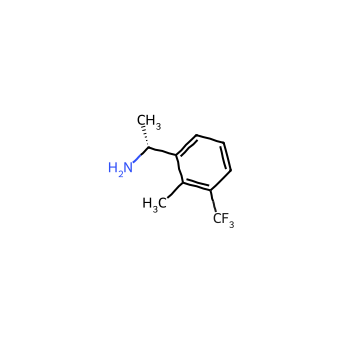 Cc1c([C@@H](C)N)cccc1C(F)(F)F